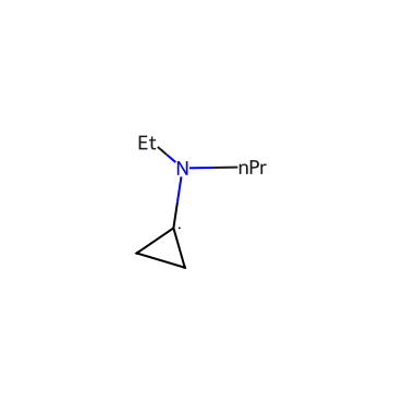 CCCN(CC)[C]1CC1